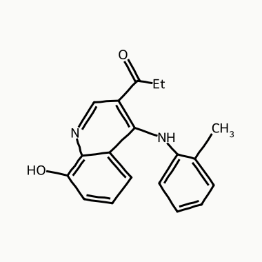 CCC(=O)c1cnc2c(O)cccc2c1Nc1ccccc1C